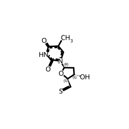 Cc1cn([C@H]2C[C@H](O)[C@@H](C=S)O2)c(=O)[nH]c1=O